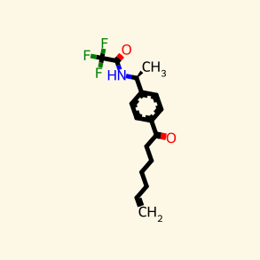 C=CCCCCC(=O)c1ccc([C@H](C)NC(=O)C(F)(F)F)cc1